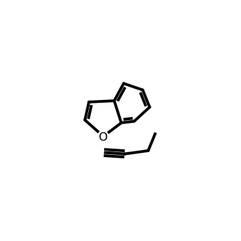 C#CCC.c1ccc2occc2c1